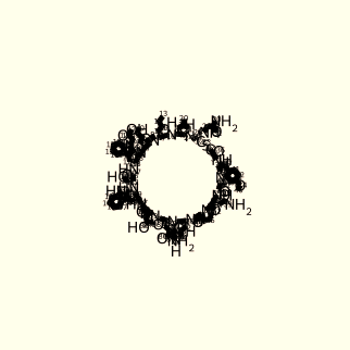 CCCC[C@H]1C(=O)N(C)[C@@H](CCCC)C(=O)N[C@@H](CC(C)C)C(=O)N[C@H](CNCC(N)=O)CSCC(=O)N[C@H]2Cc3ccc(OC)cc3N(C2=O)[C@@H](C)C(=O)N[C@@H](CC(N)=O)C(=O)N2CCC[C@H]2C(=O)N[C@@H](Cc2c[nH]cn2)C(=O)N[C@@H](CCC(N)=O)C(=O)N2C[C@H](O)C[C@H]2C(=O)N[C@@H](Cc2c[nH]c3ccccc23)C(=O)N[C@@H](CO)C(=O)N[C@@H](Cc2cn(CC(=O)O)c3ccccc23)C(=O)N1C